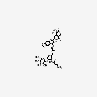 CC[C@@]1(O)C(=O)OCc2c1cc1n(c2=O)Cc2c-1nc1cc3c(cc1c2CNC(=O)OCc1ccc(O[C@@H]2OC(C(=O)O)[C@@H](O)[C@H](O)C2O)c(NC(=O)CCN)c1)OCO3